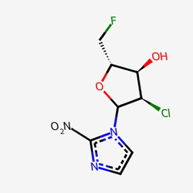 O=[N+]([O-])c1nccn1C1O[C@H](CF)[C@@H](O)[C@H]1Cl